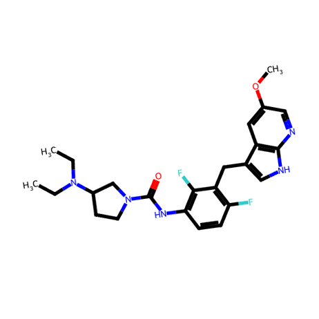 CCN(CC)C1CCN(C(=O)Nc2ccc(F)c(Cc3c[nH]c4ncc(OC)cc34)c2F)C1